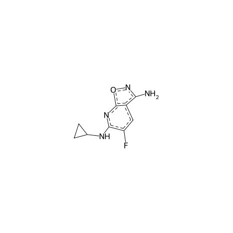 Nc1noc2nc(NC3CC3)c(F)cc12